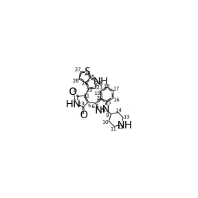 O=C1NC(=O)C(c2nn(C3CCNCC3)c3ccccc23)=C1c1c[nH]c2sccc12